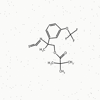 CC(C)(C)C(=O)OCC(C)(N=C=S)c1cccc(OC(F)(F)F)c1